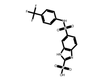 O=S(=O)(O)c1nc2ccc(S(=O)(=O)Nc3ccc(C(F)(F)F)cc3)cc2[nH]1